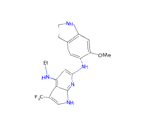 CCNc1cc(Nc2cc3c(cc2OC)CNCC3)nc2[nH]cc(C(F)(F)F)c12